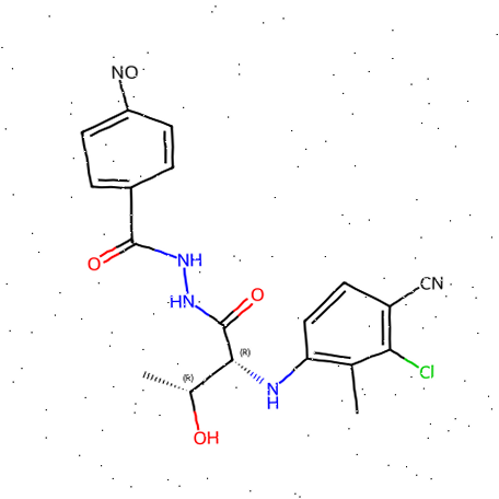 Cc1c(N[C@@H](C(=O)NNC(=O)c2ccc(N=O)cc2)[C@@H](C)O)ccc(C#N)c1Cl